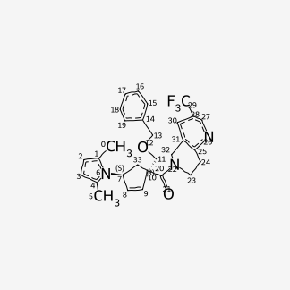 Cc1ccc(C)n1[C@@H]1C=C[C@](COCc2ccccc2)(C(=O)N2CCc3ncc(C(F)(F)F)cc3C2)C1